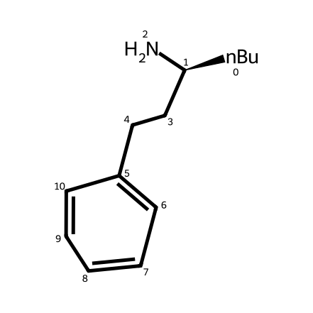 [CH2]CCC[C@H](N)CCc1ccccc1